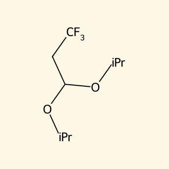 CC(C)OC(CC(F)(F)F)OC(C)C